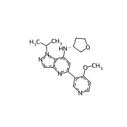 COc1ccncc1-c1cc(N[C@@H]2CCOC2)c2c(cnn2C(C)C)n1